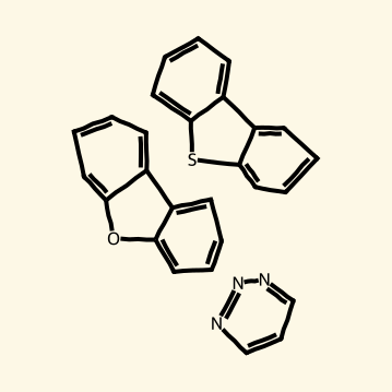 c1ccc2c(c1)oc1ccccc12.c1ccc2c(c1)sc1ccccc12.c1cnnnc1